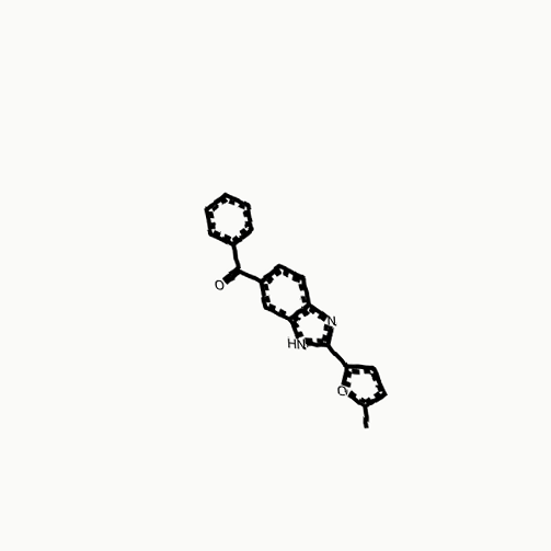 Cc1ccc(-c2nc3ccc(C(=O)c4ccccc4)cc3[nH]2)o1